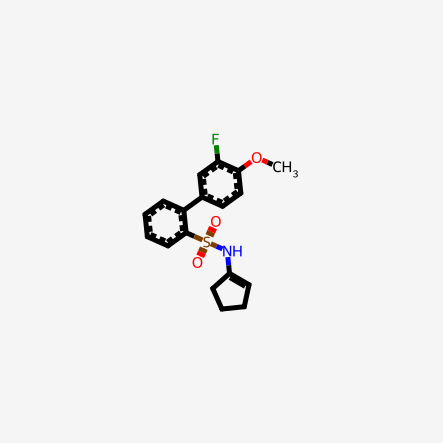 COc1ccc(-c2ccccc2S(=O)(=O)NC2=CCCC2)cc1F